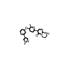 Cc1nc(-c2cnc3n(c2=O)CCCN3)ccc1Oc1ccnc(-c2cnn(C)c2)c1